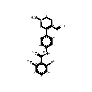 BN1CCC(C=O)=C(c2ccc(NC(=O)c3c(F)cccc3F)cc2)C1